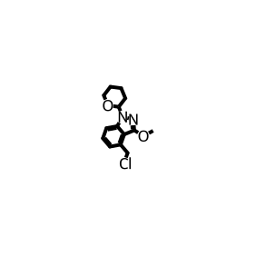 COc1nn(C2CCCCO2)c2cccc(CCl)c12